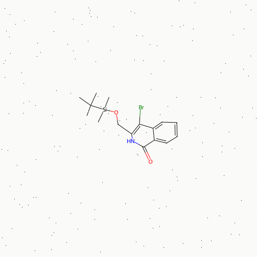 CC(C)(C)[Si](C)(C)OCc1[nH]c(=O)c2ccccc2c1Br